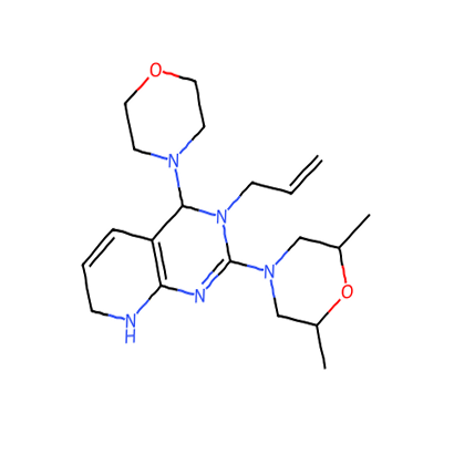 C=CCN1C(N2CC(C)OC(C)C2)=NC2=C(C=CCN2)C1N1CCOCC1